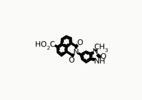 Cn1c(=O)[nH]c2ccc(N3C(=O)c4cccc5c(C(=O)O)ccc(c45)C3=O)cc21